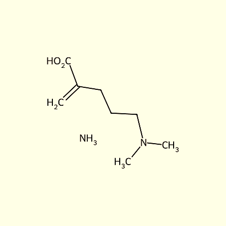 C=C(CCCN(C)C)C(=O)O.N